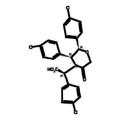 O=C(O)[C@H](c1ccc(Cl)cc1)N1C(=O)CO[C@@H](c2ccc(Cl)cc2)[C@H]1c1ccc(Cl)cc1